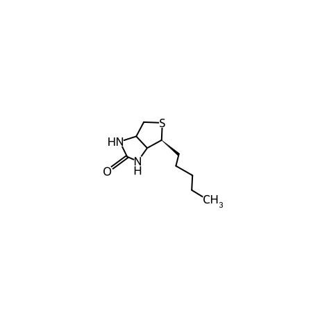 CCCCC[C@@H]1SCC2NC(=O)NC21